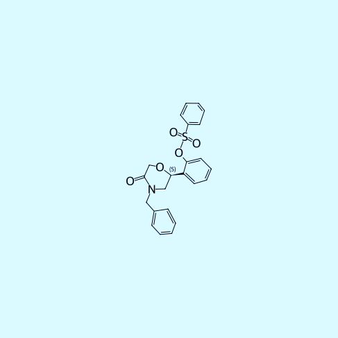 O=C1CO[C@@H](c2ccccc2OS(=O)(=O)c2ccccc2)CN1Cc1ccccc1